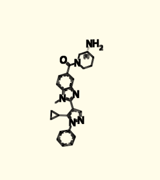 Cn1c(-c2cnn(-c3ccccc3)c2C2CC2)nc2cc(C(=O)N3CCC[C@@H](N)C3)ccc21